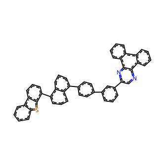 c1cc(-c2ccc(-c3cccc4c(-c5cccc6c5sc5ccccc56)cccc34)cc2)cc(-c2cnc3c4ccccc4c4ccccc4c3n2)c1